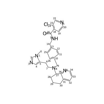 Cn1cncc1CCN(Cc1ccc(CNC(=O)c2ccncc2Cl)cc1)C1CCCc2cccnc21